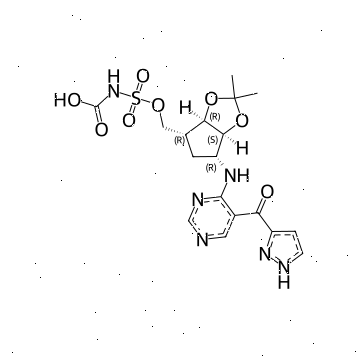 CC1(C)O[C@@H]2[C@@H](COS(=O)(=O)NC(=O)O)C[C@@H](Nc3ncncc3C(=O)c3cc[nH]n3)[C@@H]2O1